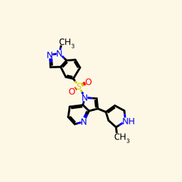 CC1CC(c2cn(S(=O)(=O)c3ccc4c(cnn4C)c3)c3cccnc23)=CCN1